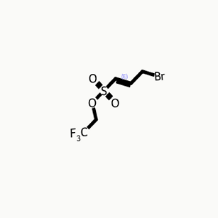 O=S(=O)(/C=C/CBr)OCC(F)(F)F